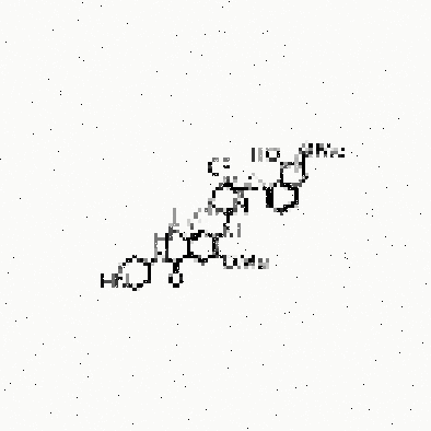 COc1cc(C(=O)NC2CCNCC2)c(F)cc1NC1=NC(Oc2cccc3c2C(O)N(OC)C3)=C(C(F)(F)F)CN1C